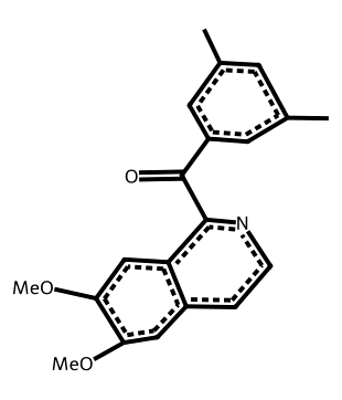 COc1cc2ccnc(C(=O)c3cc(C)cc(C)c3)c2cc1OC